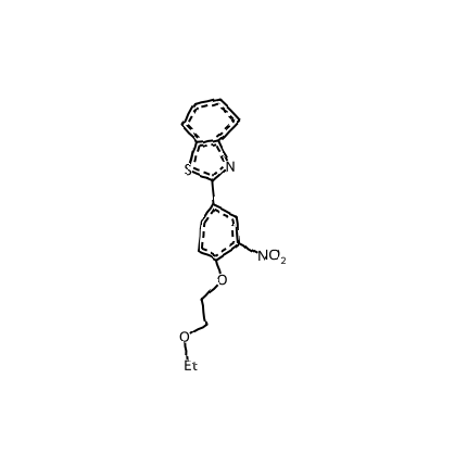 CCOCCOc1ccc(-c2nc3ccccc3s2)cc1[N+](=O)[O-]